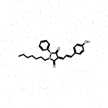 CCCCCCCN1C(=O)C(=CC=Cc2ccc(O)cc2)C(=O)N1c1ccccc1